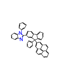 c1ccc(-n2c(-c3ccc4c(c3)C(c3ccccc3)(c3cc5ccc6cccc7ccc(c3)c5c67)c3ccccc3-4)nc3ccccc32)cc1